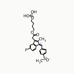 CC1=C(CC(=O)OCCCCON(O)O)c2cc(F)ccc2/C1=C\c1ccc([S+](C)[O-])cc1